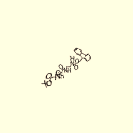 CC(C)(C)OC(=O)NOCC(=O)NCCNC(=O)OCC1c2ccccc2-c2ccccc21